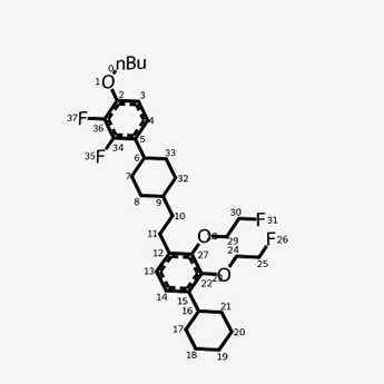 CCCCOc1ccc(C2CCC(CCc3ccc(C4CCCCC4)c(OCCF)c3OCCF)CC2)c(F)c1F